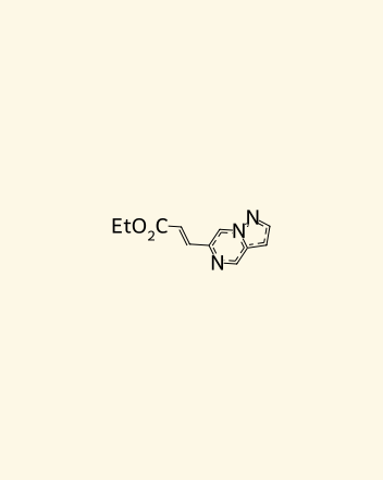 CCOC(=O)C=Cc1cn2nccc2cn1